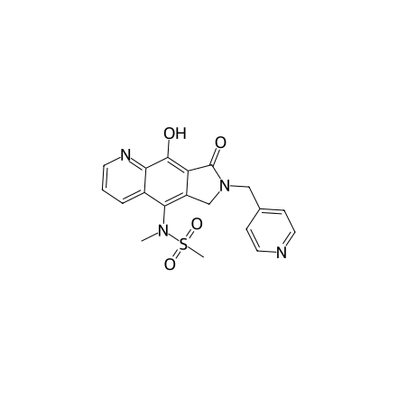 CN(c1c2c(c(O)c3ncccc13)C(=O)N(Cc1ccncc1)C2)S(C)(=O)=O